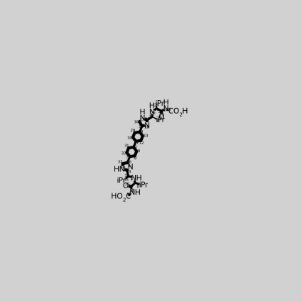 CC(C)C(NC(c1nc(-c2ccc(-c3ccc(-c4c[nH]c([C@@H](N[C@H](C(=O)NC(=O)O)C(C)C)C(C)C)n4)cc3)cc2)c[nH]1)C(C)C)C(=O)NC(=O)O